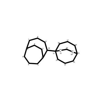 C1C[C]2CCC(C1)CCCC2C12CCCC(CCC1)CCC2